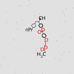 C#CC(CC1CCC(CCC)CC1)c1ccc(OC(=O)c2ccc(OCCCOC(=O)C=C)cc2)cc1